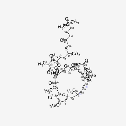 COc1cc2cc(c1Cl)N(C)C(=O)C[C@H](OC(=O)[C@H](C)N(C)C(=O)CCC(C)SCC(=O)CCC[SH](C)(C)=O)[C@@]1(C)CC(C)(O1)[C@@H]1C[C@@](O)(NC(=O)O1)[C@H](OC)/C=C/C=C(\C)C2